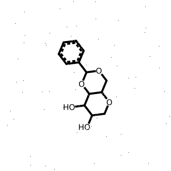 OC1COC2COC(c3ccccc3)OC2C1O